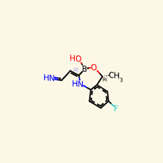 C[C@H]1OB(O)/C(=C/C=N)Nc2ccc(F)cc21